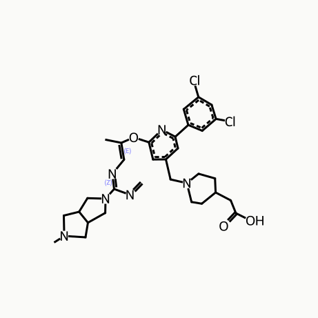 C=N/C(=N\C=C(/C)Oc1cc(CN2CCC(CC(=O)O)CC2)cc(-c2cc(Cl)cc(Cl)c2)n1)N1CC2CN(C)CC2C1